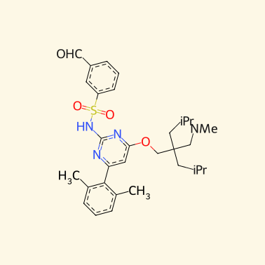 CNCC(COc1cc(-c2c(C)cccc2C)nc(NS(=O)(=O)c2cccc(C=O)c2)n1)(CC(C)C)CC(C)C